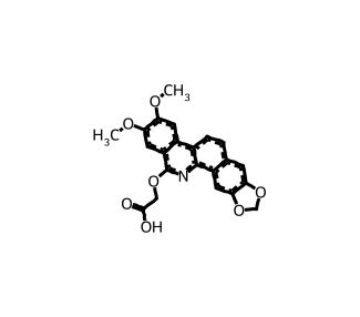 COc1cc2c(OCC(=O)O)nc3c4cc5c(cc4ccc3c2cc1OC)OCO5